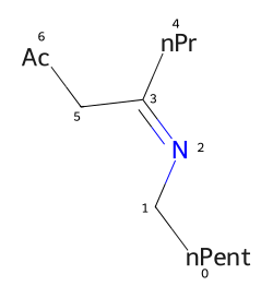 CCCCCCN=C(CCC)CC(C)=O